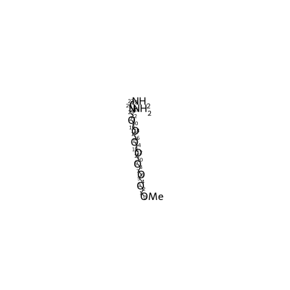 COCCOCCOCCOCCOCCOCCOCCOCCN(N)/C=C\N